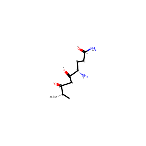 CN[C@@H](C)C(=O)CC(=O)[C@@H](N)CCC(N)=O